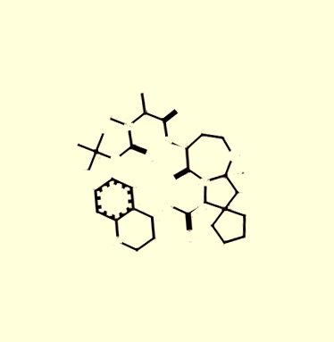 CC(C(=O)N[C@H]1CCS[C@H]2CC3(CCCC3)[C@@H](C(=O)N[C@@H]3CCSc4ccccc43)N2C1=O)N(C)C(=O)OC(C)(C)C